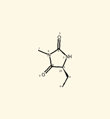 CC[C@@H]1NC(=O)N(C)C1=O